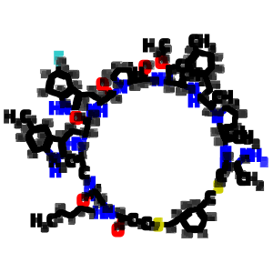 C=C1CNC(=O)[C@@H](CCCCC)NC(=O)CCSCc2cccc(c2)CSC[C@@H](C(=C)N)NC(=C)[C@]2(C)CCCN2C(=C)[C@H](Cc2ccc(C)cc2)NC(=C)[C@H]([C@H](C)OC)NC(=O)[C@@H]2CCCN2C(=O)[C@H](Cc2c[nH]c3ccc(F)cc23)NC(=O)[C@H](Cc2c[nH]c3ccc(C)cc23)N1